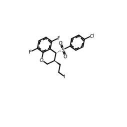 O=S(=O)(c1ccc(Cl)cc1)[C@H]1c2c(F)ccc(F)c2OC[C@@H]1CCI